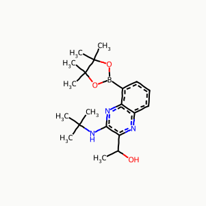 CC(O)c1nc2cccc(B3OC(C)(C)C(C)(C)O3)c2nc1NC(C)(C)C